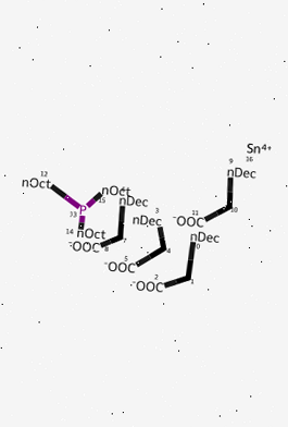 CCCCCCCCCCCC(=O)[O-].CCCCCCCCCCCC(=O)[O-].CCCCCCCCCCCC(=O)[O-].CCCCCCCCCCCC(=O)[O-].CCCCCCCCP(CCCCCCCC)CCCCCCCC.[Sn+4]